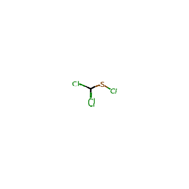 ClSC(Cl)Cl